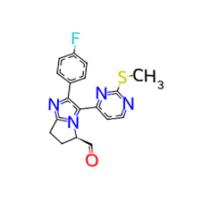 CSc1nccc(-c2c(-c3ccc(F)cc3)nc3n2[C@@H](C=O)CC3)n1